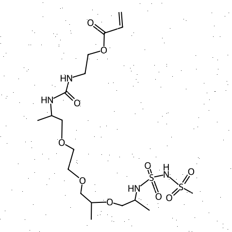 C=CC(=O)OCCNC(=O)NC(C)COCCOCC(C)OCC(C)NS(=O)(=O)NS(C)(=O)=O